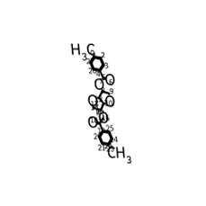 Cc1ccc(C(=O)OC2COC3C2OC[C@H]3OC(=O)c2ccc(C)cc2)cc1